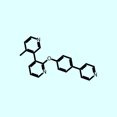 Cc1ccncc1-c1cccnc1Oc1ccc(-c2ccncc2)cc1